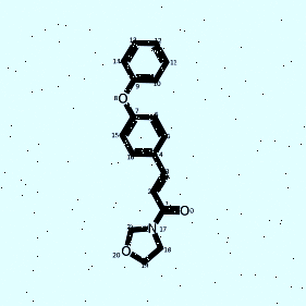 O=C(C=Cc1ccc(Oc2ccccc2)cc1)N1CCOC1